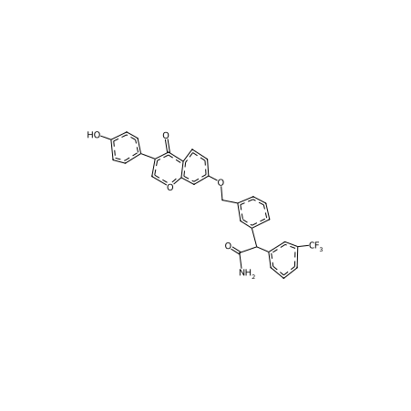 NC(=O)C(c1cccc(COc2ccc3c(=O)c(-c4ccc(O)cc4)coc3c2)c1)c1cccc(C(F)(F)F)c1